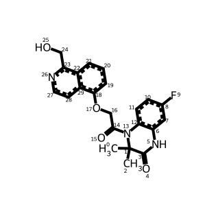 CC1(C)C(=O)Nc2cc(F)ccc2N1C(=O)COc1cccc2c(CO)nccc12